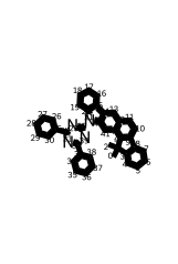 CC1(C)c2ccccc2-c2ccc3cc4c5ccccc5n(-c5nc(-c6ccccc6)nc(-c6ccccc6)n5)c4cc3c21